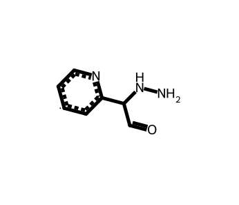 NNC(C=O)c1c[c]ccn1